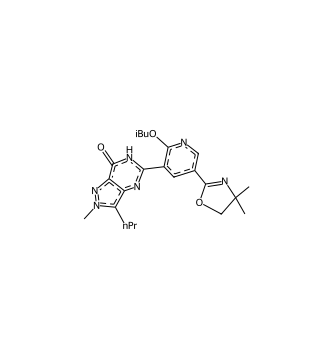 CCCc1c2nc(-c3cc(C4=NC(C)(C)CO4)cnc3OCC(C)C)[nH]c(=O)c2nn1C